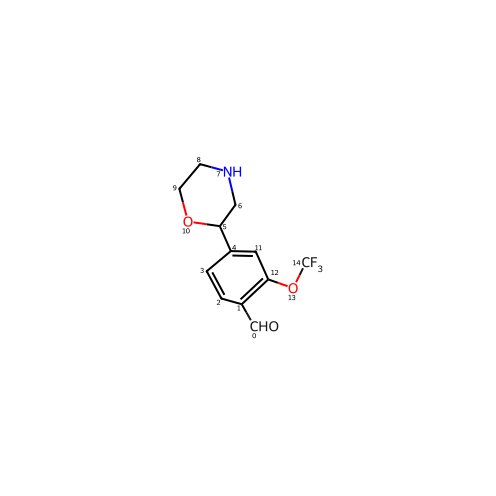 O=Cc1ccc(C2CNCCO2)cc1OC(F)(F)F